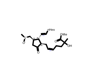 CCCCCC/C=C/[C@H]1[C@H](C[S+](C)[O-])CC(=O)[C@@H]1C/C=C\CCC(C)(O)C(=O)OC